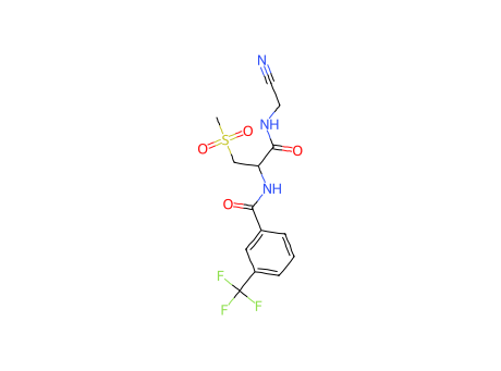 CS(=O)(=O)CC(NC(=O)c1cccc(C(F)(F)F)c1)C(=O)NCC#N